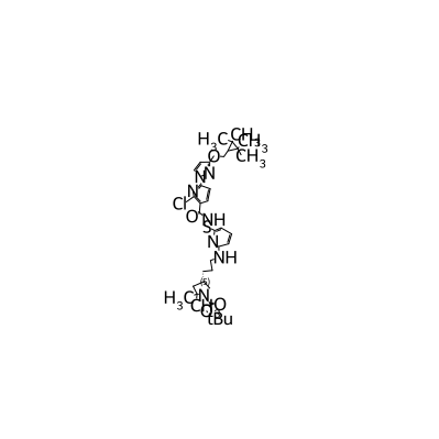 CC(C)(C)OC(=O)N1C[C@@H](CCCNc2cccc(SNC(=O)c3ccc(-n4ccc(OCC5C(C)(C)C5(C)C)n4)nc3Cl)n2)CC1(C)C